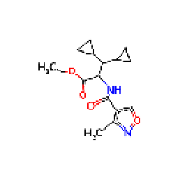 CCOC(=O)C(NC(=O)c1conc1C)C(C1CC1)C1CC1